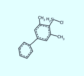 Cc1cc(-c2ccccc2)cc(C)c1[SiH2]Cl